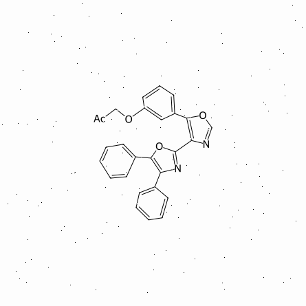 CC(=O)COc1cccc(-c2ocnc2-c2nc(-c3ccccc3)c(-c3ccccc3)o2)c1